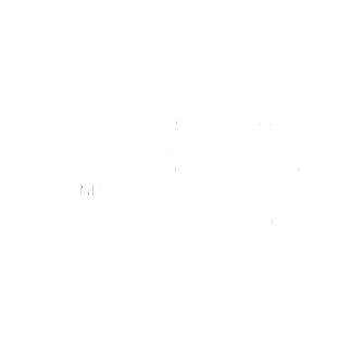 COc1cc(OC(=O)c2cc(Cl)cc(NC(C)=O)c2)cc(OC)c1OC